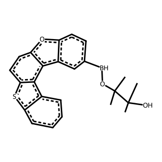 CC(C)(O)C(C)(C)OBc1ccc2oc3ccc4sc5ccccc5c4c3c2c1